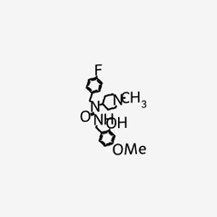 COc1ccc(CNC(=O)N(Cc2ccc(F)cc2)C2CCN(C)CC2)c(O)c1